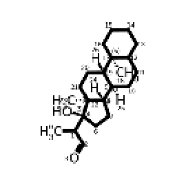 CC(C=O)[C@@]1(O)CC[C@H]2[C@@H]3CCC4CCCC[C@]4(C)[C@H]3CC[C@@]21C